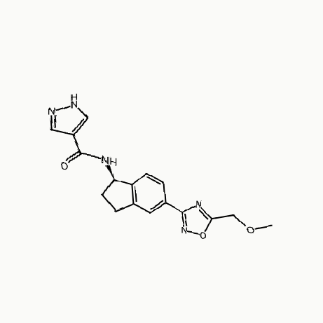 COCc1nc(-c2ccc3c(c2)CC[C@H]3NC(=O)c2cn[nH]c2)no1